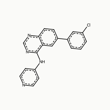 Clc1cccc(-c2ccc3ncnc(Nc4ccncc4)c3c2)c1